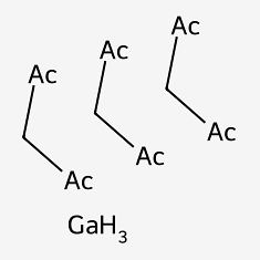 CC(=O)CC(C)=O.CC(=O)CC(C)=O.CC(=O)CC(C)=O.[GaH3]